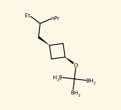 BC(B)(B)O[C@H]1C[C@@H](CC(CC)CCC)C1